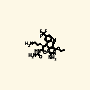 CCOc1nc(N)nc(N(c2cccc(C(F)(F)F)c2)[C@@H](CCCN)C(=O)NC(N)=O)c1C#N